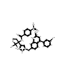 CCC(OC(=O)c1ccc([N+](=O)[O-])cc1)(c1cn(Cc2ccc3c(-c4cccc(F)c4)cc(=O)oc3c2)nn1)C(F)(F)F